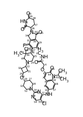 CNC(=O)COc1cc2cc(Nc3nc(N4CCC(OC5CC(N6CC[C@H](c7ccc8c(c7F)CN(C7CCC(=O)NC7=O)C8=O)C(C)(C)C6)C5)CC4)ncc3Cl)ccc2n(C(C)C)c1=O